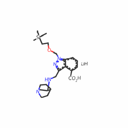 C[Si](C)(C)CCOCn1nc(CNC2CN3CCC2CC3)c2c(C(=O)O)cccc21.[LiH]